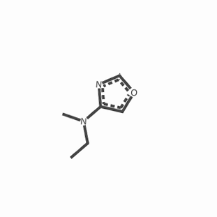 CCN(C)c1co[c]n1